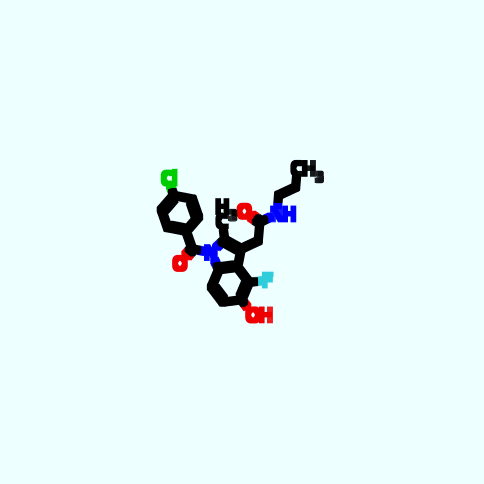 CCCNC(=O)Cc1c(C)n(C(=O)c2ccc(Cl)cc2)c2ccc(O)c(F)c12